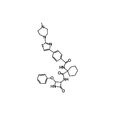 CN1CCN(c2nc(-c3ccc(C(=O)NC4(C(=O)NC5C(=O)NC5Oc5ccccc5)CCCCC4)cc3)cs2)CC1